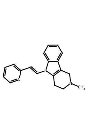 CN1CCc2c(c3ccccc3n2C=Cc2ccccn2)C1